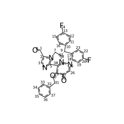 O=Cc1cnc2n1C[C@H](C(c1ccc(F)cc1)c1ccc(F)cc1)n1ncc(=O)c(OCc3ccccc3)c1-2